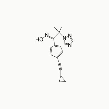 O/N=C(\c1ccc(C#CC2CC2)cc1)C1(n2cncn2)CC1